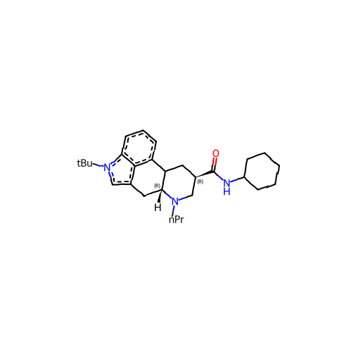 CCCN1C[C@H](C(=O)NC2CCCCC2)CC2c3cccc4c3c(cn4C(C)(C)C)C[C@H]21